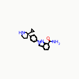 NC(=O)c1cccc2cn(-c3ccc([C@@]4(C5CC5)CCCNC4)cc3)nc12